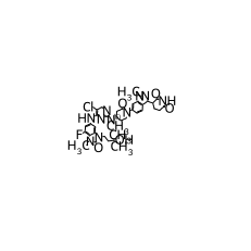 CN(c1ncc(Cl)c(Nc2cc(F)c3c(c2)n(CCC(C)(C)O)c(=O)n3C)n1)[C@H]1CCN(c2ccc3c(C4CCC(=O)NC4=O)nn(C)c3c2)C(=O)C1